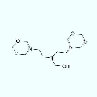 OCN(CCN1COCOC1)CCN1COCOC1